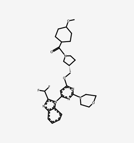 COC1CCC(C(=O)N2CC[C@H](COc3cc(-n4c(C(F)F)nc5ccccc54)nc(N4CCOCC4)n3)C2)CC1